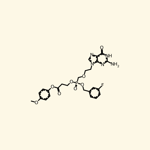 COc1ccc(OC(=O)CCOP(=O)(COCCn2cnc3c(=O)[nH]c(N)nc32)OCc2cccc(F)c2)cc1